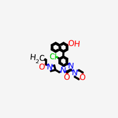 C=CC(=O)N1CC(Cn2c(=O)c(N3CCOCC3)nc3cc(-c4cc(O)cc5ccccc45)c(Cl)cc32)C1